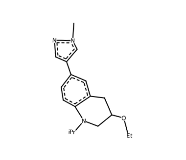 CCOC1Cc2cc(-c3cnn(C)c3)ccc2N(C(C)C)C1